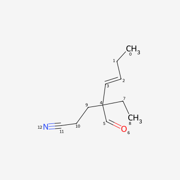 CC/C=C/C(C=O)(CC)CCC#N